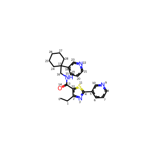 CCc1nc(-c2cccnc2)sc1C(=O)NCC1(c2cccnc2)CCCCC1